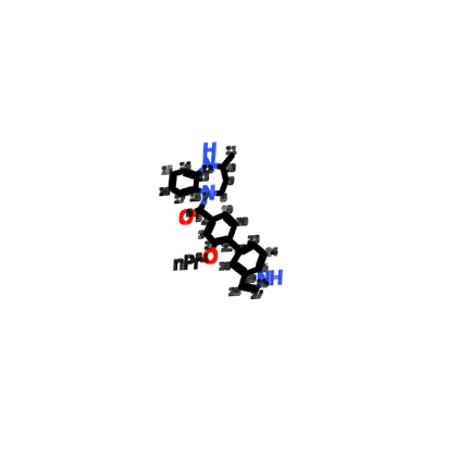 CCCOc1cc(C(=O)N2CCC(C)Nc3ccccc32)ccc1-c1ccc2[nH]ccc2c1